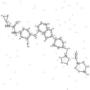 CN1CCN(C(=O)[C@@H]2CCCN2Cc2ccc(-c3cc4nccc(Oc5ccc(NC(=O)NC6CC6)cc5F)c4s3)nc2)CC1